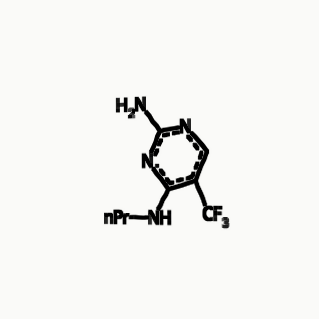 [CH2]CCNc1nc(N)ncc1C(F)(F)F